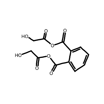 O=C(CO)OC(=O)c1ccccc1C(=O)OC(=O)CO